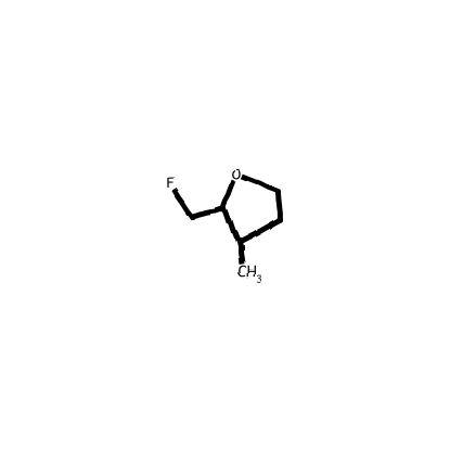 CC1CCOC1CF